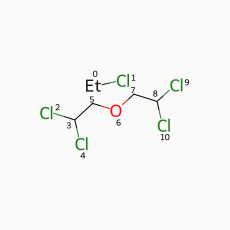 CCCl.ClC(Cl)COCC(Cl)Cl